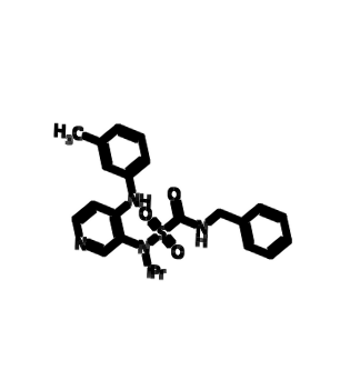 Cc1cccc(Nc2ccncc2N(C(C)C)S(=O)(=O)C(=O)NCc2ccccc2)c1